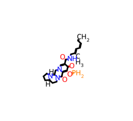 C=C/C=C\C=C(/C)CNC(=O)c1cn2c(c(OP)c1=O)C(=O)N1CC[C@H]3CCCN3[C@H]1C2